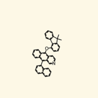 CC1(C)c2ccccc2-c2c(Oc3c4ccccc4c(-c4cccc5ccccc45)c4cnccc34)cccc21